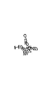 CN(Cc1cc2nc(-c3ccc(OCc4ccccc4)nc3)nc(N3CCOCC3)c2s1)c1ncc(CNO)cn1